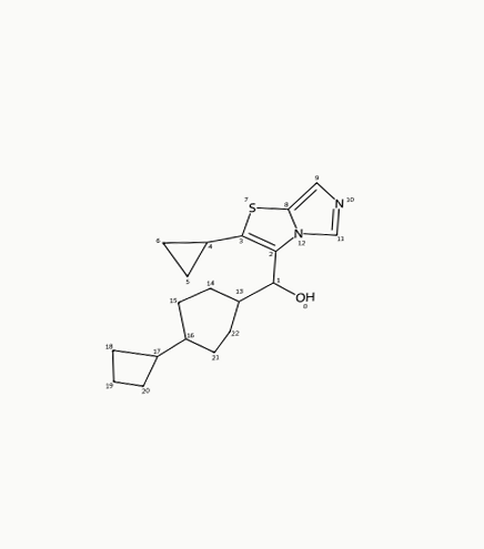 OC(c1c(C2CC2)sc2cncn12)C1CCC(C2CCC2)CC1